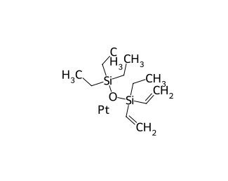 C=C[Si](C=C)(CC)O[Si](CC)(CC)CC.[Pt]